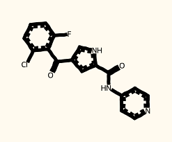 O=C(Nc1ccncc1)c1cc(C(=O)c2c(F)cccc2Cl)c[nH]1